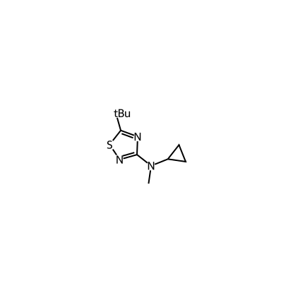 CN(c1nsc(C(C)(C)C)n1)C1CC1